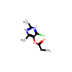 CCC(=O)Oc1c(C)nc(C)nc1Cl